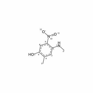 CNc1cc(C)c(O)cc1[N+](=O)[O-]